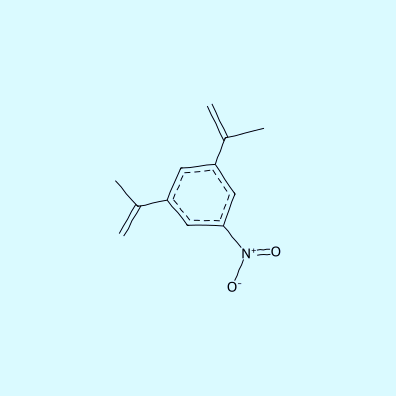 C=C(C)c1cc(C(=C)C)cc([N+](=O)[O-])c1